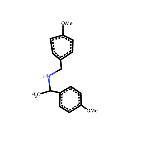 COc1ccc(CNC(C)c2ccc(OC)cc2)cc1